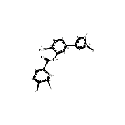 Cc1ccc(C(=O)Nc2cc(-c3cnn(C)c3)ccc2N)nc1C